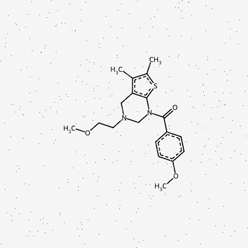 COCCN1Cc2c(sc(C)c2C)N(C(=O)c2ccc(OC)cc2)C1